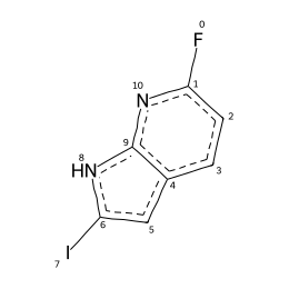 Fc1ccc2cc(I)[nH]c2n1